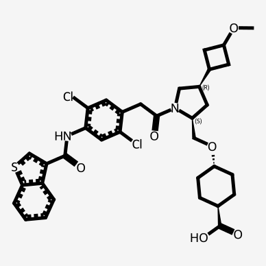 COC1CC([C@H]2C[C@@H](CO[C@H]3CC[C@H](C(=O)O)CC3)N(C(=O)Cc3cc(Cl)c(NC(=O)c4csc5ccccc45)cc3Cl)C2)C1